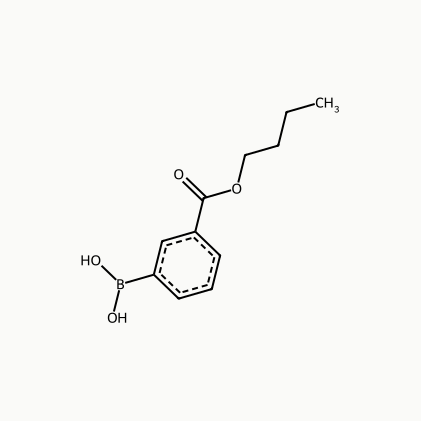 CCCCOC(=O)c1cccc(B(O)O)c1